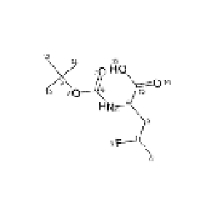 CC(F)CC(NC(=O)OC(C)(C)C)C(=O)O